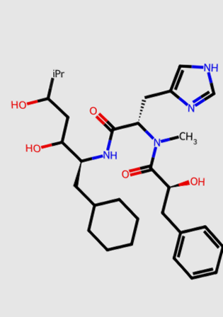 CC(C)C(O)CC(O)[C@H](CC1CCCCC1)NC(=O)[C@H](Cc1c[nH]cn1)N(C)C(=O)[C@@H](O)Cc1ccccc1